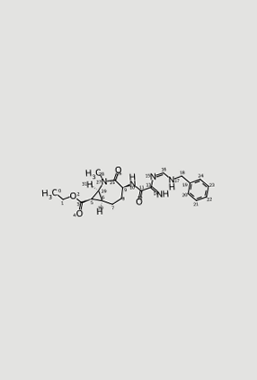 CCOC(=O)[C@@H]1[C@@H]2CC[C@H](NC(=O)C(=N)/N=C\NCc3ccccc3)C(=O)N(C)[C@@H]21